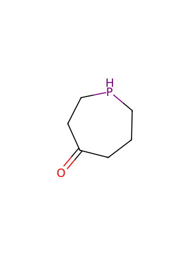 O=C1CCCPCC1